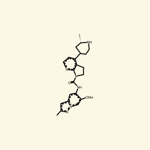 COc1cn2nc(C)cc2cc1NC(=O)N1CCc2c(C3CCN[C@@H](C)C3)ccnc21